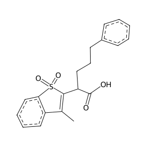 CC1=C(C(CCCc2ccccc2)C(=O)O)S(=O)(=O)c2ccccc21